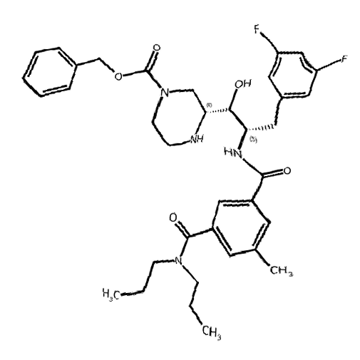 CCCN(CCC)C(=O)c1cc(C)cc(C(=O)N[C@@H](Cc2cc(F)cc(F)c2)C(O)[C@H]2CN(C(=O)OCc3ccccc3)CCN2)c1